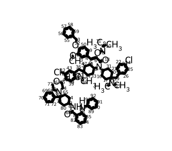 COc1cc(C=C(ON=C(C)C)C(=O)N(C2CCC(Cc3ccc(Cl)cc3)(N(C)C)CC2)C2CCC(Cc3cccc(Cl)c3)(N(C)C)CC2)ccc1OCc1ccccc1.O=C(NC1CCC(c2ccccc2)(N2CCOCC2)CC1)c1ccccc1Nc1ccccc1